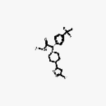 CNC(=O)[C@H](c1ccc(C(F)(F)F)cc1)N1CCC(C2CC(Br)=NO2)CC1